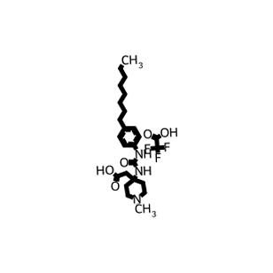 CCCCCCCCc1ccc(NC(=O)NC2(CC(=O)O)CCN(C)CC2)cc1.O=C(O)C(F)(F)F